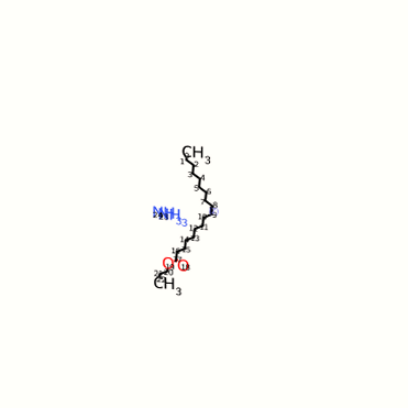 CCCCCCCC/C=C\CCCCCCCC(=O)OCCC.N.N